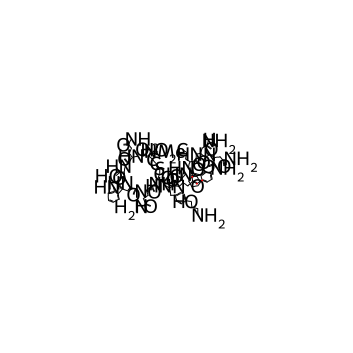 CNC1CCSCC(C(=O)NC(Cc2ccc(OCCN)cc2)C(=O)NC(Cc2ccc3ccccc3c2)C(=O)NC2(C(=O)NC(CCC(=O)O)C(=O)NC(CC(N)=O)C(=O)NC(CC(N)=O)C(N)=O)CCOCC2)NC(=O)C(CCC(N)=O)NC(=O)C(Cc2c[nH]c3ccccc23)NC(=O)C(C(C)O)NC(=O)C(CCC(N)=O)NC1=O